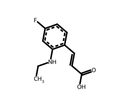 CCNc1cc(F)ccc1C=CC(=O)O